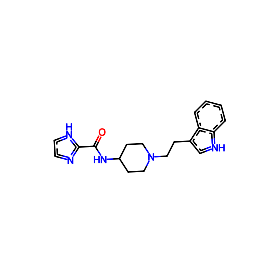 O=C(NC1CCN(CCc2c[nH]c3ccccc23)CC1)c1ncc[nH]1